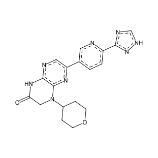 O=C1CN(C2CCOCC2)c2nc(-c3ccc(-c4nc[nH]n4)nc3)cnc2N1